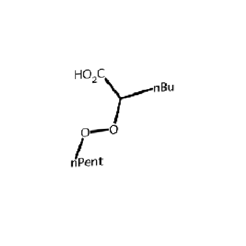 CCCCCOOC(CCCC)C(=O)O